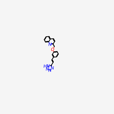 C(=C\c1nnn[nH]1)/c1cccc(OCc2ccc3ccccc3n2)c1